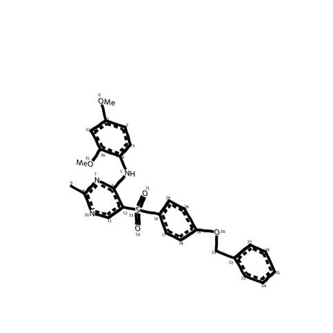 COc1ccc(Nc2nc(C)ncc2S(=O)(=O)c2ccc(OCc3ccccc3)cc2)c(OC)c1